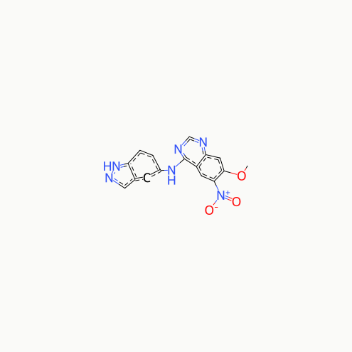 COc1cc2ncnc(Nc3ccc4[nH]ncc4c3)c2cc1[N+](=O)[O-]